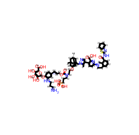 Cc1c(-c2ccc(N3CCc4cccc(C(=O)Nc5nc6ccccc6s5)c4C3)nc2C(=O)O)cnn1CC12CC3(C)C[C@@](C)(C1)C[C@@](OCCN(CCCP(=O)(O)O)C(=O)OC/C=C/c1ccc(O[C@H]4OC(C(=O)O)=C(O)C(O)=C4O)c(NCCCN)c1)(C3)C2